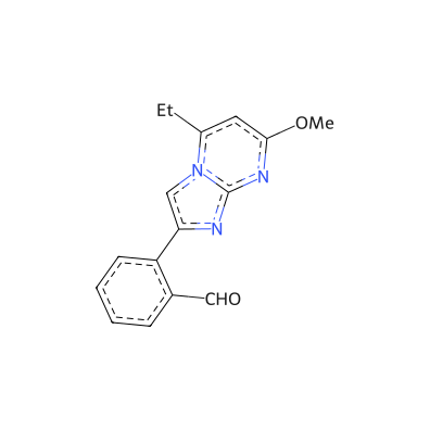 CCc1cc(OC)nc2nc(-c3ccccc3C=O)cn12